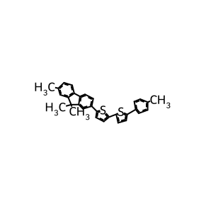 Cc1ccc(-c2ccc(-c3ccc(-c4ccc5c(c4)C(C)(C)c4cc(C)ccc4-5)s3)s2)cc1